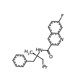 CC(C)C[C@](C)(Cc1ccccc1)NC(=O)c1cnc2cc(F)ccc2c1